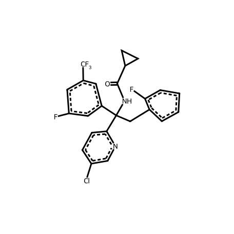 O=C(NC(Cc1ccccc1F)(c1cc(F)cc(C(F)(F)F)c1)c1ccc(Cl)cn1)C1CC1